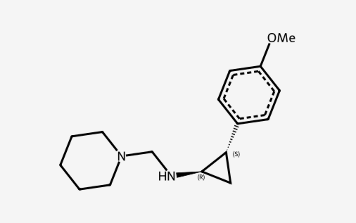 COc1ccc([C@@H]2C[C@H]2NCN2CCCCC2)cc1